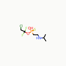 CC(C)NCCP(O)(=S)OC(F)(F)CCl